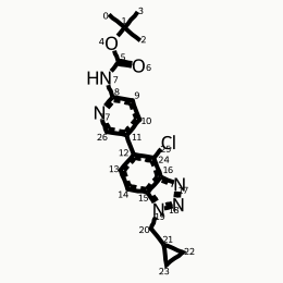 CC(C)(C)OC(=O)Nc1ccc(-c2ccc3c(nnn3CC3CC3)c2Cl)cn1